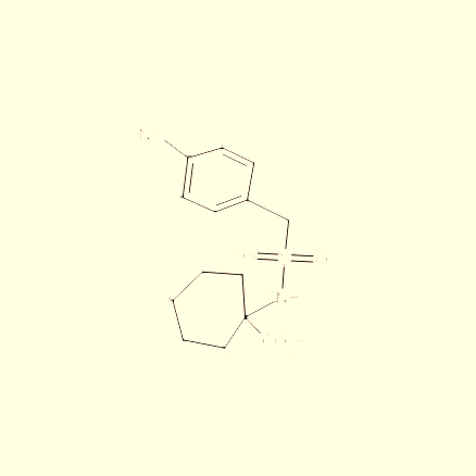 N#Cc1ccc(CS(=O)(=O)NC2(C(=O)O)CCCCC2)cc1